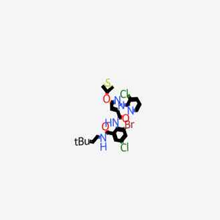 CC(C)(C)CCNC(=O)c1cc(Cl)cc(Br)c1NC(=O)c1cc(OC2CSC2)nn1-c1ncccc1Cl